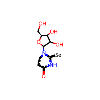 O=c1ccn([C@H]2O[C@@H](CO)C(O)C2O)c(=[Se])[nH]1